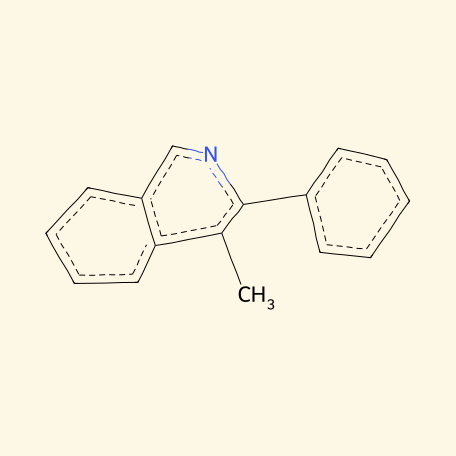 Cc1c(-c2ccccc2)ncc2ccccc12